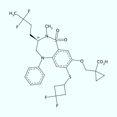 CN1[C@H](CCC(C)(F)F)CN(c2ccccc2)c2cc(SC3CC(F)(F)C3)c(OCC3(C(=O)O)CC3)cc2S1(=O)=O